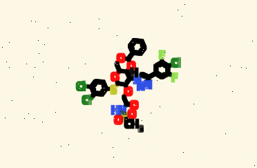 CS(=O)(=O)NC(=O)COC1C(n2cc(-c3cc(F)c(Cl)c(F)c3)nn2)[C@H]2OC(c3ccccc3)OCC2O[C@@H]1Sc1ccc(Cl)c(Cl)c1